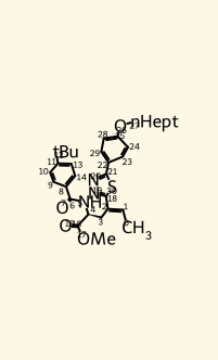 C/C=C(\C[C@H](NC(=O)c1ccc(C(C)(C)C)cc1)C(=O)OC)c1nnc(-c2ccc(OCCCCCCC)cc2)s1